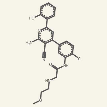 COCCNCC(=O)Nc1cc(-c2cc(-c3ccccc3O)nc(N)c2C#N)ccc1Cl